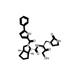 O=C1NCC[C@H]1C[C@H](NC(=O)[C@@H]1[C@H]2CCC[C@H]2CN1C(=O)c1ccc(-c2ccccc2)[nH]1)C(=O)CO